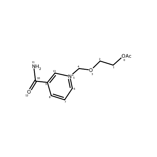 CC(=O)OCCOC[n+]1cccc(C(N)=O)c1